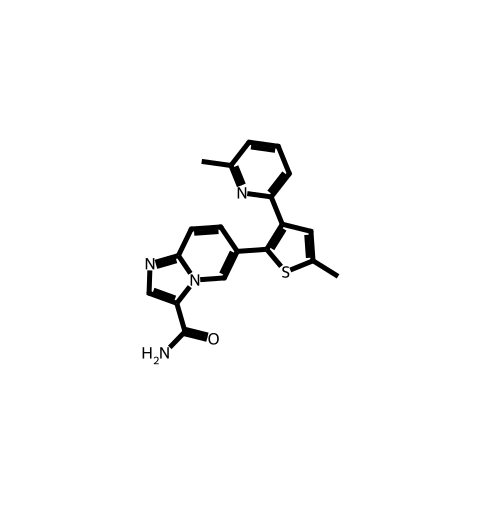 Cc1cccc(-c2cc(C)sc2-c2ccc3ncc(C(N)=O)n3c2)n1